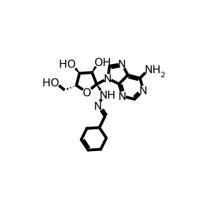 Nc1ncnc2c1ncn2[C@]1(NN=CC2CC=CCC2)O[C@H](CO)[C@@H](O)[C@H]1O